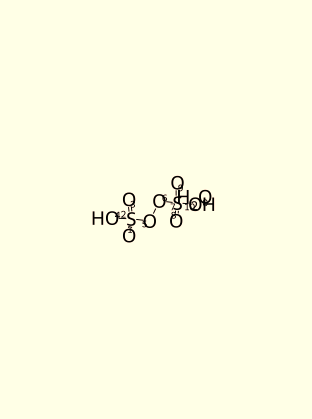 O.O=S(=O)(O)OOS(=O)(=O)O